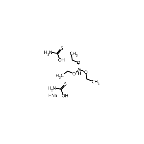 CCO[SiH](OCC)OCC.NC(O)=S.NC(O)=S.[NaH]